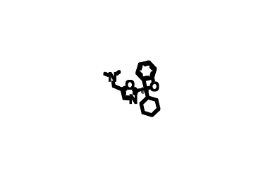 CN(C)Cc1cnc([C@]2(C3CCCCC3)Oc3ccccc32)o1